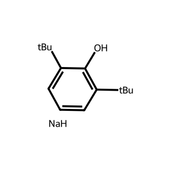 CC(C)(C)c1cccc(C(C)(C)C)c1O.[NaH]